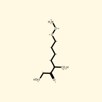 CCCCCCCCCC(=O)C(CCCCOON)C(=O)O